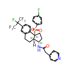 O=C(Cc1ccncc1)N[C@H]1CC[C@@]2(S(=O)(=O)c3ccc(F)cc3)c3ccc(C(F)(C(F)(F)F)C(F)(F)F)cc3CC[C@@H]12